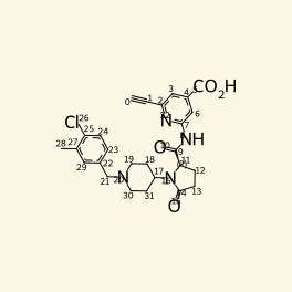 C#Cc1cc(C(=O)O)cc(NC(=O)[C@H]2CCC(=O)N2C2CCN(Cc3ccc(Cl)c(C)c3)CC2)n1